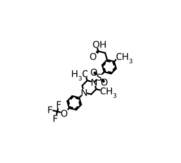 Cc1ccc(S(=O)(=O)N2C(C)CN(c3ccc(OC(F)(F)F)cc3)CC2C)cc1CC(=O)O